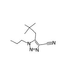 CCCn1nnc(C#N)c1CC(C)(C)C